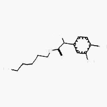 CCCCCCNC(=O)C(C)c1ccc(O)c(O)c1